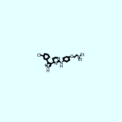 CCN(CC)CCOc1ccc(Nc2nccc(-c3c[nH]nc3-c3cccc(Cl)c3)n2)cc1